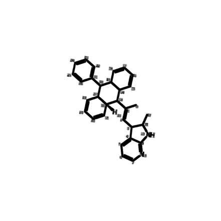 C/C(=C\C1c2cccnc2NC1C)C1C2C=CC=CC2C(c2ccccc2)C2C=CC=C[C@H]21